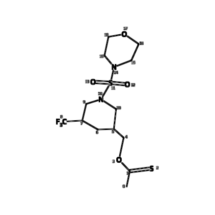 CC(=S)OCC1CC(C(F)(F)F)CN(S(=O)(=O)N2CCOCC2)C1